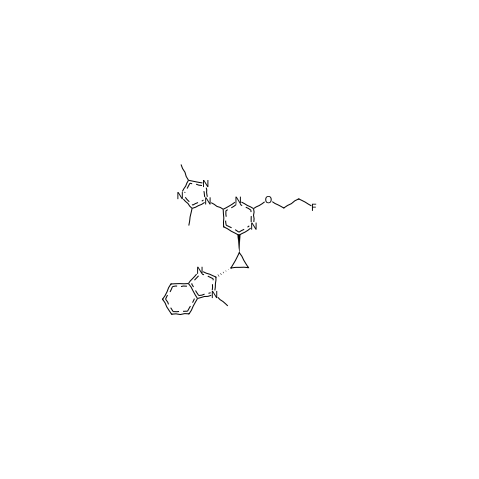 Cc1nc(C)n(-c2cc([C@H]3C[C@@H]3c3nc4ccccc4n3C)nc(OCCF)n2)n1